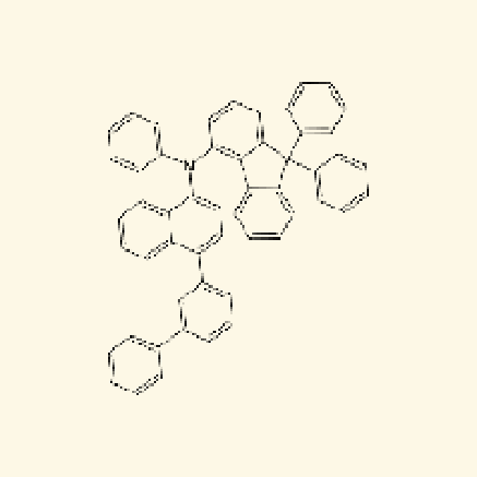 c1ccc(-c2cccc(-c3ccc(N(c4ccccc4)c4cccc5c4-c4ccccc4C5(c4ccccc4)c4ccccc4)c4ccccc34)c2)cc1